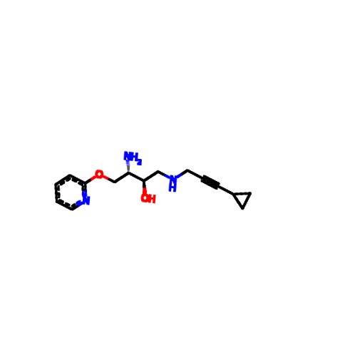 N[C@@H](COc1ccccn1)[C@H](O)CNCC#CC1CC1